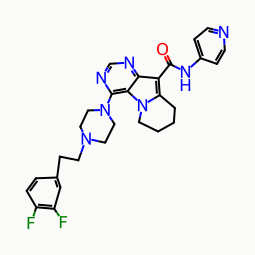 O=C(Nc1ccncc1)c1c2n(c3c(N4CCN(CCc5ccc(F)c(F)c5)CC4)ncnc13)CCCC2